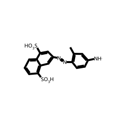 Cc1cc([NH])ccc1N=Nc1cc(S(=O)(=O)O)c2cccc(S(=O)(=O)O)c2c1